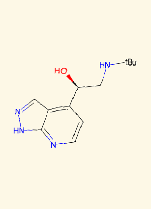 CC(C)(C)NC[C@H](O)c1ccnc2[nH]ncc12